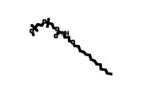 CCCCCCCCCCCCCCOCCCNC(=O)OCCC(C)(C)OCCC(C)(C)OC